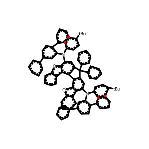 CC(C)(C)c1ccc(N(c2cc(-c3ccccc3)ccc2-c2ccccc2)c2cc3c(c4c2oc2ccccc24)-c2c(cc(N(c4ccc(C(C)(C)C)cc4)c4cc(-c5ccccc5)ccc4-c4ccccc4)c4c2oc2ccccc24)C3(c2ccccc2)c2ccccc2)cc1